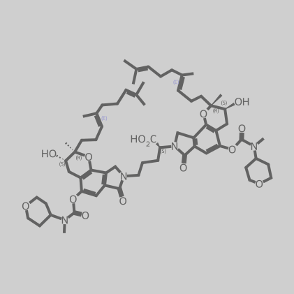 CC(C)=CCC/C(C)=C/CC[C@@]1(C)Oc2c(c(OC(=O)N(C)C3CCOCC3)cc3c2CN(CCC[C@@H](C(=O)O)N2Cc4c(cc(OC(=O)N(C)C5CCOCC5)c5c4O[C@](C)(CC/C=C(\C)CCC=C(C)C)[C@@H](O)C5)C2=O)C3=O)C[C@@H]1O